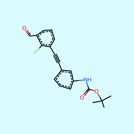 CC(C)(C)OC(=O)Nc1cccc(C#Cc2cccc(C=O)c2F)c1